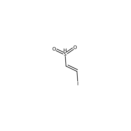 O=[SH](=O)C=CI